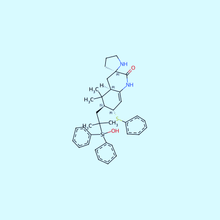 CC1(C)[C@H](CC(C)(C)[Si](O)(c2ccccc2)c2ccccc2)[C@@H](Sc2ccccc2)C=C2NC(=O)[C@@]3(CCCN3)C[C@@H]21